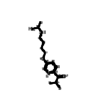 CC(S)NCCCCOc1ccc(C(=O)C(C)C)nc1